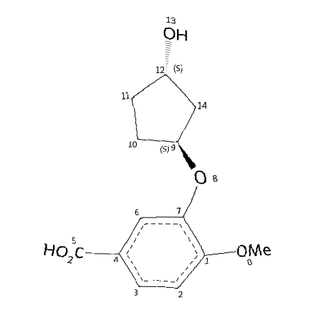 COc1ccc(C(=O)O)cc1O[C@H]1CC[C@H](O)C1